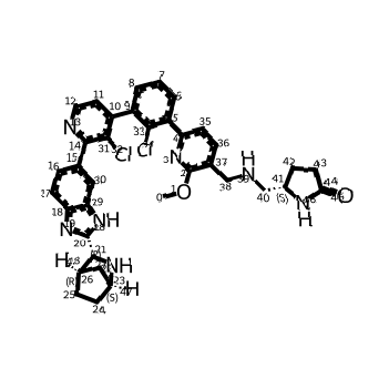 COc1nc(-c2cccc(-c3ccnc(-c4ccc5nc([C@@H]6N[C@H]7CC[C@@H]6C7)[nH]c5c4)c3Cl)c2Cl)ccc1CNC[C@@H]1CCC(=O)N1